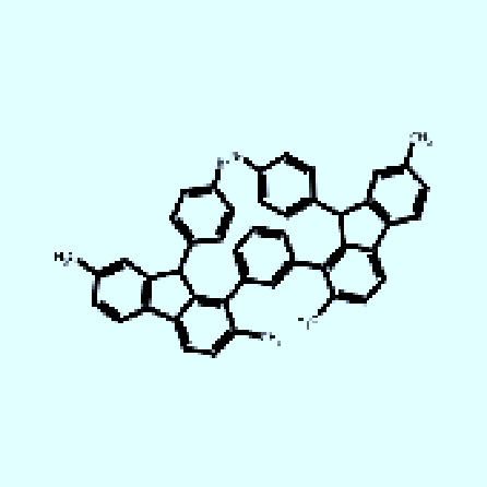 Cc1ccc2c(c1)C(c1ccc(Br)cc1)c1c-2ccc(C)c1-c1cccc(-c2c(C)ccc3c2C(c2ccc(Br)cc2)c2cc(C)ccc2-3)c1